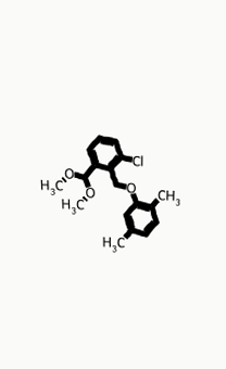 COC(OC)c1cccc(Cl)c1COc1cc(C)ccc1C